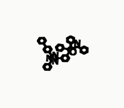 c1ccc(-c2ccc(-c3nc(-c4ccccc4)nc(-c4cccc(-c5oc6c(-c7ccccc7)nc7ccccc7c6c5-c5ccccc5)c4)n3)cc2)cc1